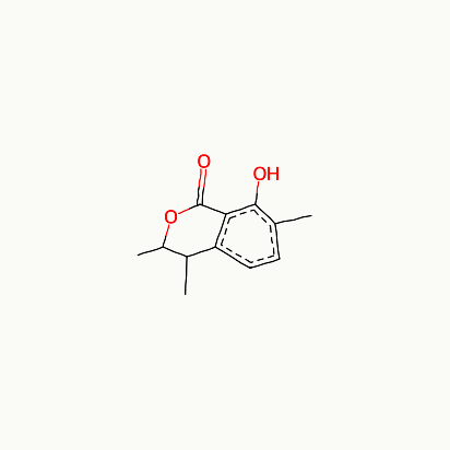 Cc1ccc2c(c1O)C(=O)OC(C)C2C